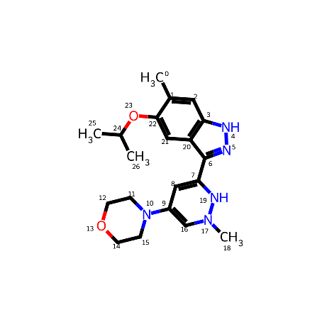 Cc1cc2[nH]nc(C3=CC(N4CCOCC4)=CN(C)N3)c2cc1OC(C)C